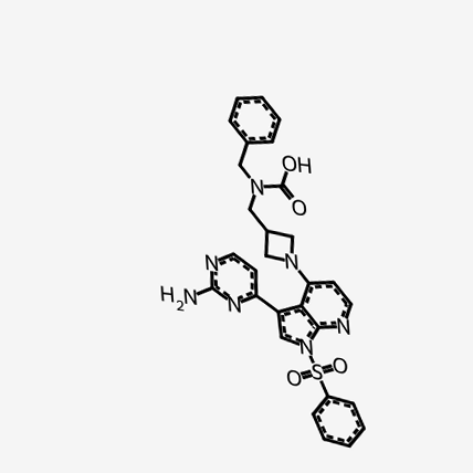 Nc1nccc(-c2cn(S(=O)(=O)c3ccccc3)c3nccc(N4CC(CN(Cc5ccccc5)C(=O)O)C4)c23)n1